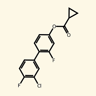 O=C(Oc1ccc(-c2ccc(F)c(Cl)c2)c(F)c1)C1CC1